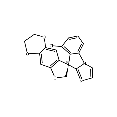 Clc1cccc2c1[C@]1(COc3cc4c(cc31)OCCO4)c1nccn1-2